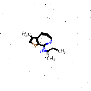 CC[C@H](C)NC1=NC=C=Cc2c(C)csc21